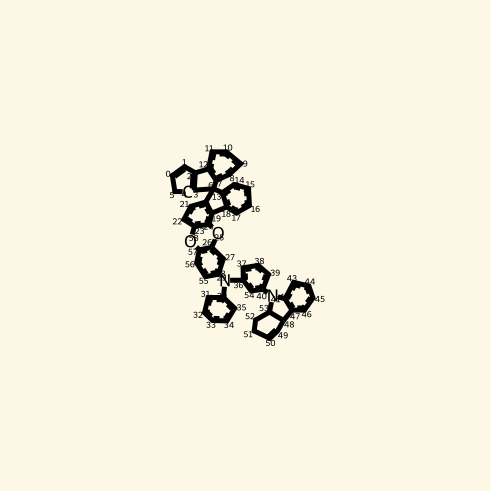 C1=CC2=C(CC1)C1(c3ccccc32)c2ccccc2-c2c1ccc1c2Oc2cc(N(c3ccccc3)c3cccc(N4c5ccccc5C5C=CCCC54)c3)ccc2O1